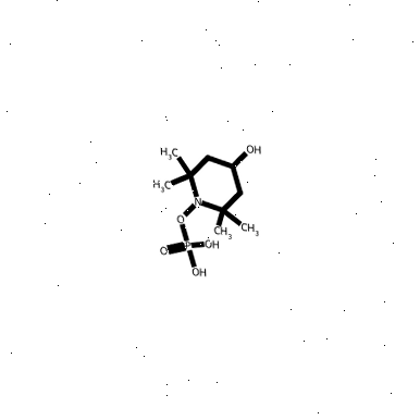 CC1(C)CC(O)CC(C)(C)N1OP(=O)(O)O